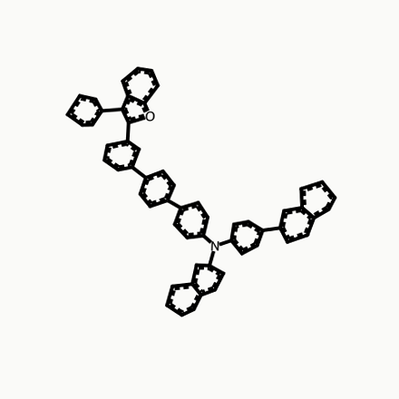 c1ccc(-c2c(-c3cccc(-c4ccc(-c5ccc(N(c6ccc(-c7ccc8ccccc8c7)cc6)c6ccc7ccccc7c6)cc5)cc4)c3)oc3ccccc23)cc1